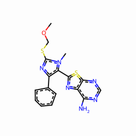 COCSc1nc(-c2ccccc2)c(-c2nc3c(N)ncnc3s2)n1C